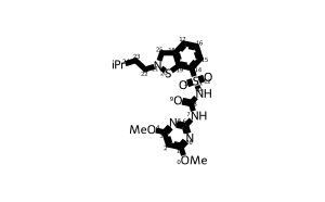 COc1cc(OC)nc(NC(=O)NS(=O)(=O)c2cccc3c2SN(CCC(C)C)C3)n1